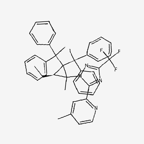 CC[C@@H]1C(C)(n2nc(C(F)(F)F)nc2-c2cc(C)ccn2)C1(C(C)(c1ccccc1)c1ccccc1)C(C)(c1ccccc1)c1ccccc1